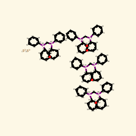 [S-2].[S-2].c1ccc(P(CP(c2ccccc2)c2ccccc2)c2ccccc2)cc1.c1ccc(P(CP(c2ccccc2)c2ccccc2)c2ccccc2)cc1.c1ccc(P(CP(c2ccccc2)c2ccccc2)c2ccccc2)cc1.c1ccc(P(CP(c2ccccc2)c2ccccc2)c2ccccc2)cc1